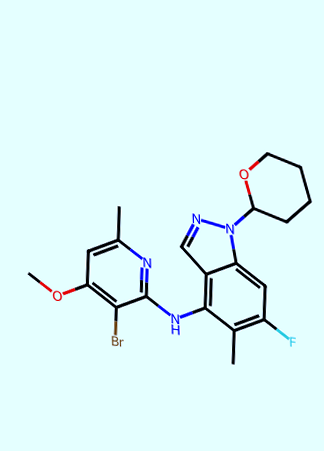 COc1cc(C)nc(Nc2c(C)c(F)cc3c2cnn3C2CCCCO2)c1Br